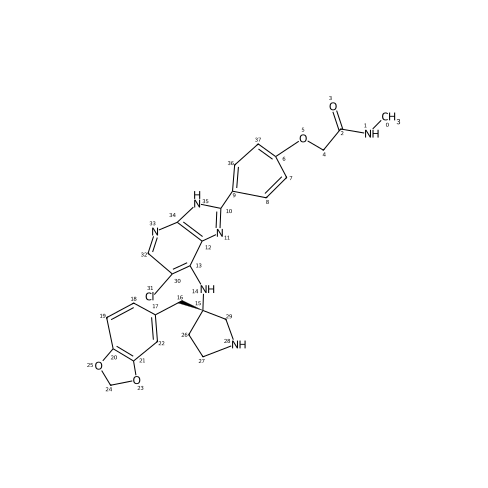 CNC(=O)COc1ccc(-c2nc3c(N[C@@]4(Cc5ccc6c(c5)OCO6)CCNC4)c(Cl)cnc3[nH]2)cc1